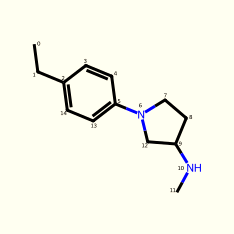 CCc1ccc(N2CCC(NC)C2)cc1